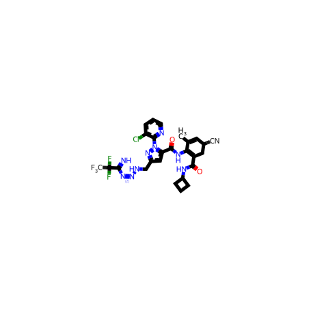 CC1=CC(C#N)CC(C(=O)NC2CCC2)=C1NC(=O)c1cc(CN/N=N\C(=N)C(F)(F)C(F)(F)F)nn1-c1ncccc1Cl